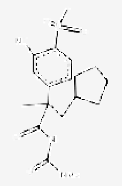 CNC(=O)NC(=O)C(C)(CC1CCCC1)c1ccc(S(C)(=O)=O)c(C#N)c1